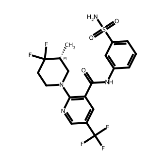 C[C@@H]1CN(c2ncc(C(F)(F)F)cc2C(=O)Nc2cccc(S(N)(=O)=O)c2)CCC1(F)F